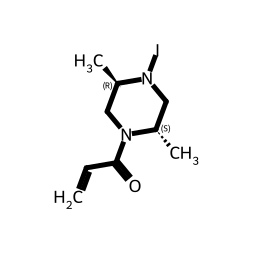 C=CC(=O)N1C[C@@H](C)N(I)C[C@@H]1C